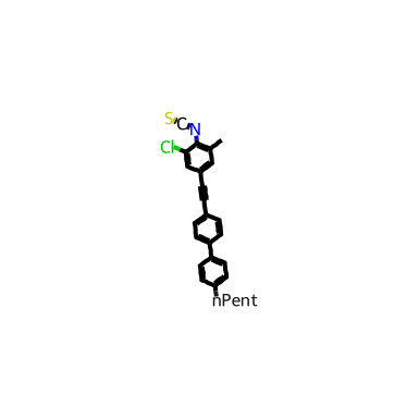 CCCCCc1ccc(-c2ccc(C#Cc3cc(C)c(N=C=S)c(Cl)c3)cc2)cc1